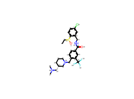 CC[S+]([O-])c1ccc(Cl)cc1CNC(=O)c1ccc(CN2CCC[C@@H](CN(C)C)C2)c(C(F)(F)F)c1